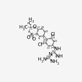 CC1(C)CS(=O)(=O)c2cc(-c3c(Cl)cc(NC(=N)N=C(N)N)cc3Cl)ccc2O1